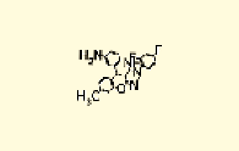 Cc1ccc2c(c1)Oc1ncn(-c3ccc(F)cc3F)c(=N)c1C2c1cccc(N)c1